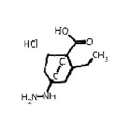 CCC1CC2(NN)CCC1(C(=O)O)CC2.Cl